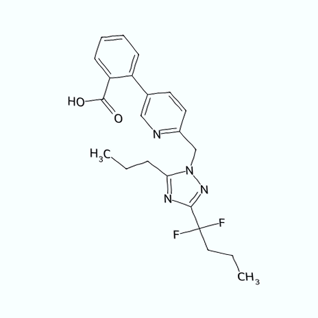 CCCc1nc(C(F)(F)CCC)nn1Cc1ccc(-c2ccccc2C(=O)O)cn1